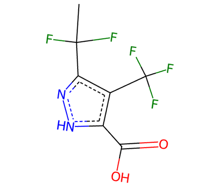 CC(F)(F)c1n[nH]c(C(=O)O)c1C(F)(F)F